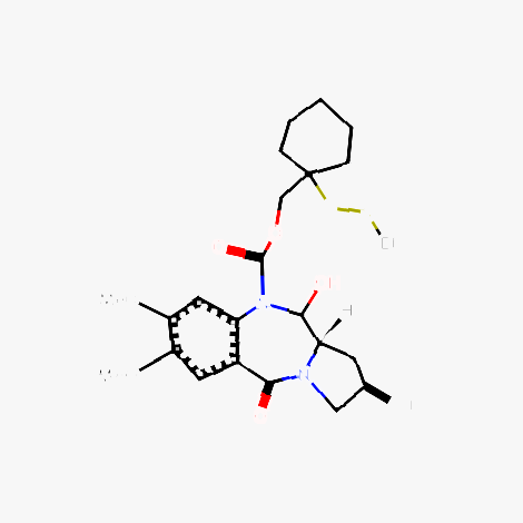 C=C1C[C@H]2C(O)N(C(=O)OCC3(SSCC)CCCCC3)c3cc(OC)c(OC)cc3C(=O)N2C1